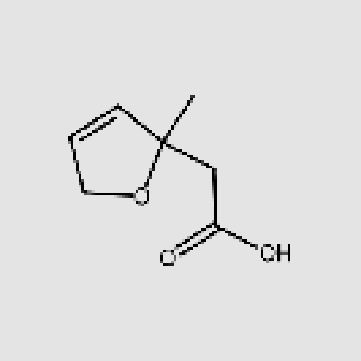 CC1(CC(=O)O)C=CCO1